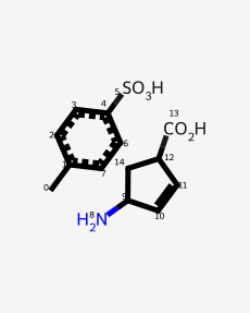 Cc1ccc(S(=O)(=O)O)cc1.NC1C=CC(C(=O)O)C1